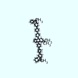 C=C(C)c1ccc2c(-c3ccc(-c4ccc(-c5ccc6c(c5)c5ccccc5n6C)cc4)cc3)c3ccccc3c(-c3ccc(-c4ccc(-c5ccc6c(c5)c5ccccc5n6C)cc4)cc3)c2c1